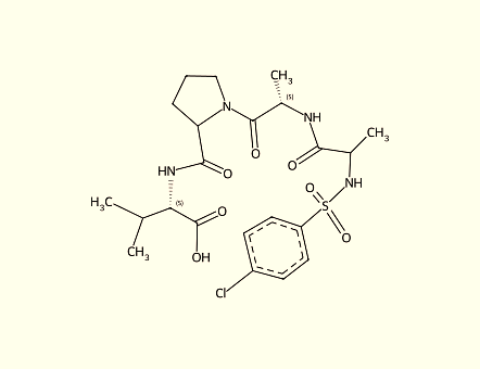 CC(NS(=O)(=O)c1ccc(Cl)cc1)C(=O)N[C@@H](C)C(=O)N1CCCC1C(=O)N[C@H](C(=O)O)C(C)C